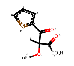 CCCOC(C)(C(=O)C(=O)O)C(=O)c1cccs1